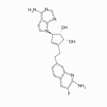 Nc1nc2cc(CCC3=C[C@@H](n4ccc5c(N)ncnc54)[C@H](O)[C@@H]3O)ccc2cc1F